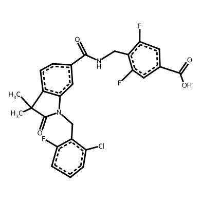 CC1(C)C(=O)N(Cc2c(F)cccc2Cl)c2cc(C(=O)NCc3c(F)cc(C(=O)O)cc3F)ccc21